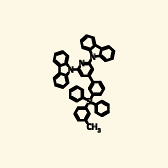 Cc1cccc([Si](c2ccccc2)(c2ccccc2)c2cccc(-c3cc(-n4c5ccccc5c5ccccc54)nc(-n4c5ccccc5c5ccccc54)c3)c2)c1